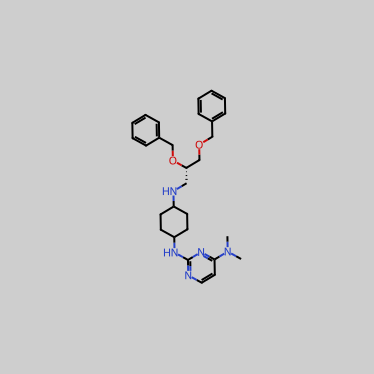 CN(C)c1ccnc(NC2CCC(NC[C@@H](COCc3ccccc3)OCc3ccccc3)CC2)n1